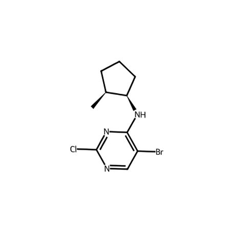 C[C@H]1CCC[C@H]1Nc1nc(Cl)ncc1Br